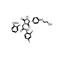 COc1ccccc1C[C@@H](C(=O)Nc1ccc(I)cc1F)N1C(=O)N[C@H](c2ccc(OCCO)cc2)C1=O